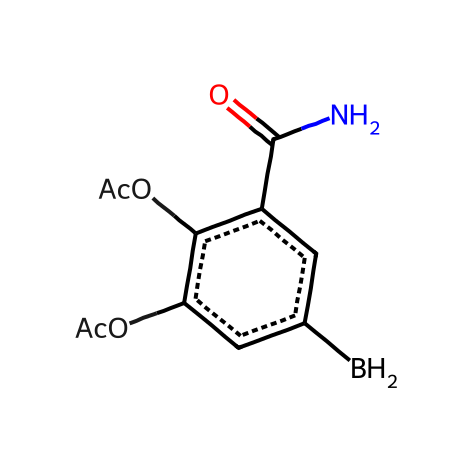 Bc1cc(OC(C)=O)c(OC(C)=O)c(C(N)=O)c1